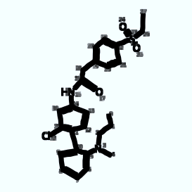 CCCN(C)c1ccccc1-c1ccc(NC(=O)Cc2ccc(S(=O)(=O)CC)cc2)cc1Cl